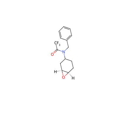 O=C(N(Cc1ccccc1)C1CC[C@H]2O[C@H]2C1)C(F)(F)F